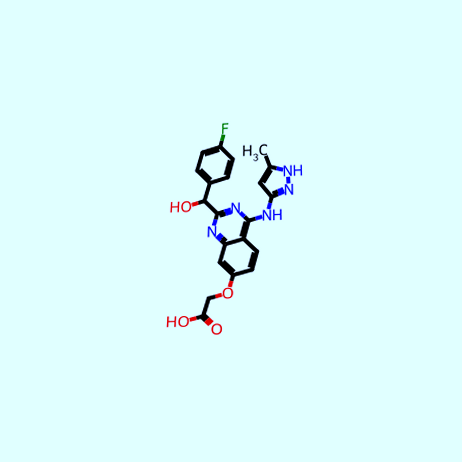 Cc1cc(Nc2nc(C(O)c3ccc(F)cc3)nc3cc(OCC(=O)O)ccc23)n[nH]1